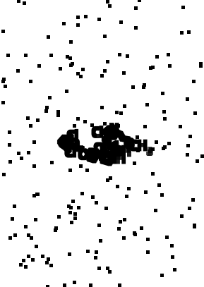 COCCCc1cc(CN(C(=O)C2=C(c3ccc(OCCOc4c(Cl)cccc4Cl)cc3)CCN[C@@H]2CO)C2CC2)c(Cl)cn1